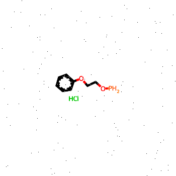 Cl.POCCOc1ccccc1